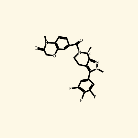 C[C@H]1c2nn(C)c(-c3cc(F)c(F)c(F)c3)c2CCN1C(=O)c1ccc2c(c1)OCC(=O)N2C